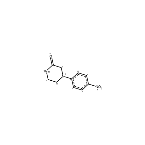 O=C1CN(c2ccc([N+](=O)[O-])cc2)CCN1